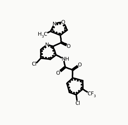 Cc1nocc1C(=O)c1ncc(Cl)cc1NC(=O)C(=O)c1ccc(Cl)c(C(F)(F)F)c1